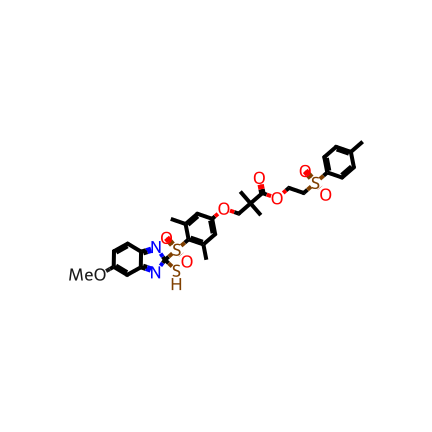 COc1ccc2c(c1)=NC(S)(S(=O)(=O)c1c(C)cc(OCC(C)(C)C(=O)OCCS(=O)(=O)c3ccc(C)cc3)cc1C)N=2